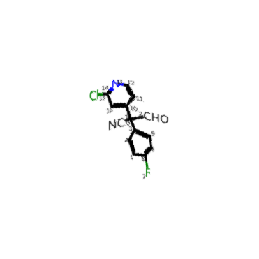 N#CC(C=O)(c1ccc(F)cc1)c1ccnc(Cl)c1